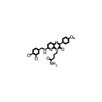 COc1ccc(-c2nc3ccc(NCc4ccc(Cl)c(Cl)c4)nc3n(CCCC(N)=O)c2=O)cc1